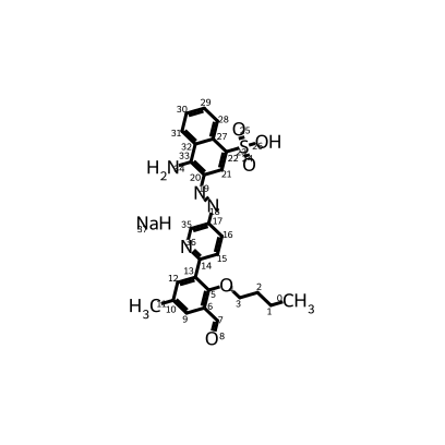 CCCCOc1c(C=O)cc(C)cc1-c1ccc(N=Nc2cc(S(=O)(=O)O)c3ccccc3c2N)cn1.[NaH]